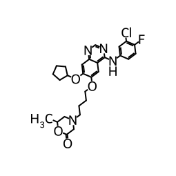 CC1CN(CCCCOc2cc3c(Nc4ccc(F)c(Cl)c4)ncnc3cc2OC2CCCC2)CC(=O)O1